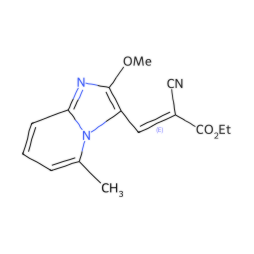 CCOC(=O)/C(C#N)=C/c1c(OC)nc2cccc(C)n12